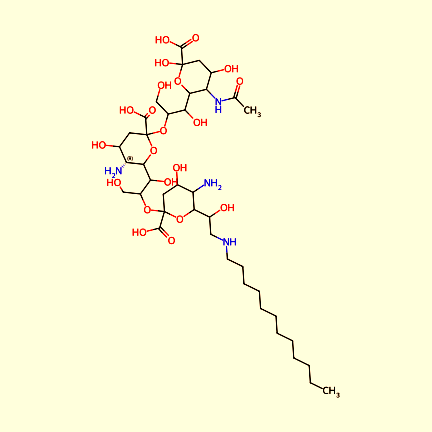 CCCCCCCCCCCCNCC(O)C1OC(OC(CO)C(O)C2OC(OC(CO)C(O)C3OC(O)(C(=O)O)CC(O)C3NC(C)=O)(C(=O)O)CC(O)[C@H]2N)(C(=O)O)CC(O)C1N